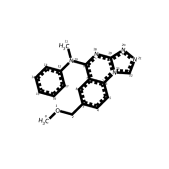 COCc1ccc2c(c1)c(N(C)c1ccccc1)nc1nncn12